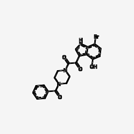 O=C(C(=O)N1CCN(C(=O)c2ccccc2)CC1)c1c[nH]c2c(Br)ccc(O)c12